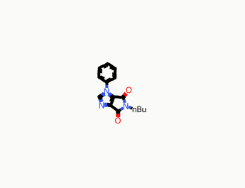 CCCCN1C(=O)c2ncn(-c3ccccc3)c2C1=O